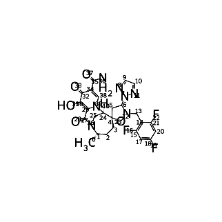 C[C@H]1CC[C@]2(CC(n3nccn3)N(Cc3c(F)cc(F)cc3F)O2)[C@H]2CN1C(=O)c1c(O)c(=O)c(C(N)=O)cn12